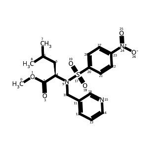 COC(=O)[C@@H](CC(C)C)N(Cc1cccnc1)S(=O)(=O)c1ccc([N+](=O)[O-])cc1